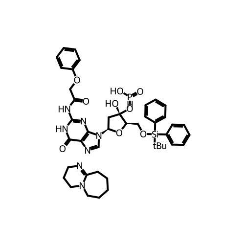 C1CCC2=NCCCN2CC1.CC(C)(C)[Si](OC[C@H]1O[C@@H](n2cnc3c(=O)[nH]c(NC(=O)COc4ccccc4)nc32)C[C@]1(O)O[PH](=O)O)(c1ccccc1)c1ccccc1